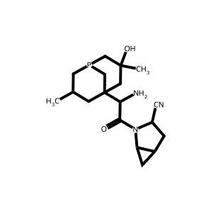 CC1CP2CC(C)(O)CC(C(N)C(=O)N3C(C#N)CC4CC43)(C1)C2